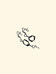 CCCOc1ccc(C)cc1.CCCOc1ccccc1